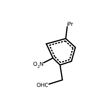 CC(C)c1ccc(CC=O)c([N+](=O)[O-])c1